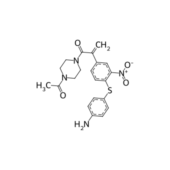 C=C(C(=O)N1CCN(C(C)=O)CC1)c1ccc(Sc2ccc(N)cc2)c([N+](=O)[O-])c1